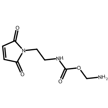 NCOC(=O)NCCN1C(=O)C=CC1=O